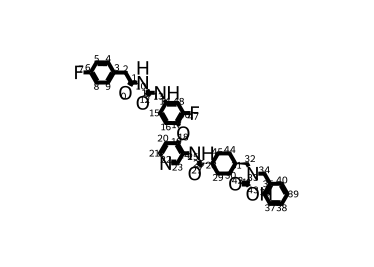 O=C(Cc1ccc(F)cc1)NC(=O)Nc1ccc(Oc2ccncc2NC(=O)[C@H]2CC[C@H](CN(Cc3ccccc3)C(=O)O)CC2)c(F)c1